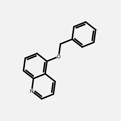 [c]1ccc(COc2cccc3ncccc23)cc1